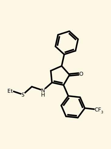 CCSCNC1=C(c2cccc(C(F)(F)F)c2)C(=O)C(c2ccccc2)C1